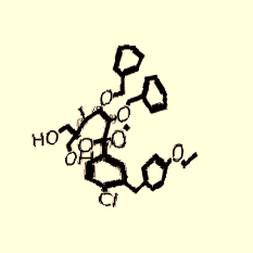 CCOc1ccc(Cc2cc([C@]3(OC)OC(CO)(CO)[C@@H](C)[C@H](OCc4ccccc4)[C@H]3OCc3ccccc3)ccc2Cl)cc1